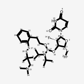 [2H]C[C@H]1O[C@@H](n2ccc(=O)[nH]c2=O)[C@@H](F)C1OP(OCCc1ccccc1SSC(C)(C)CN(C)C)N(C(C)C)C(C)C